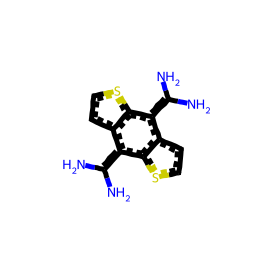 NC(N)=c1c2ccsc2c(=C(N)N)c2ccsc12